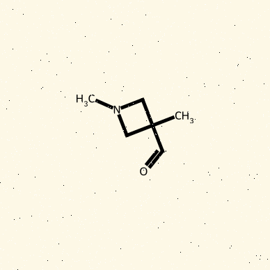 CN1CC(C)([C]=O)C1